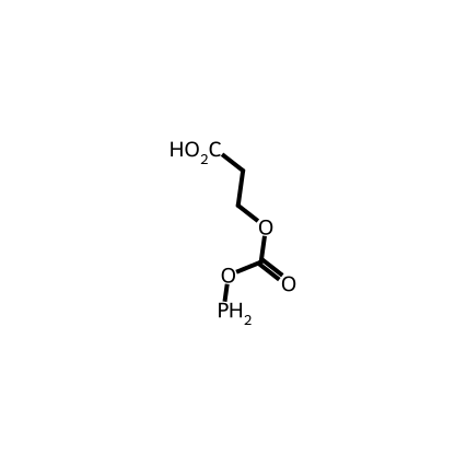 O=C(O)CCOC(=O)OP